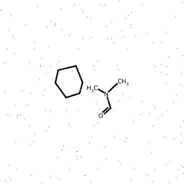 C1CCCCC1.CN(C)C=O